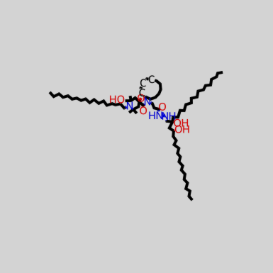 CCCCCCCCCCCCCCCCC(O)CN1C(C)(C)CC2(CC1(C)C)OC1(CCCCCCCCCCC1)N(CCC(=O)NNCC(O)(CCCCCCCCCCCCCCCC)CC(O)CCCCCCCCCCCCCCCC)C2=O